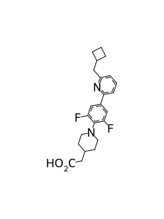 O=C(O)CC1CCN(c2c(F)cc(-c3cccc(CC4CCC4)n3)cc2F)CC1